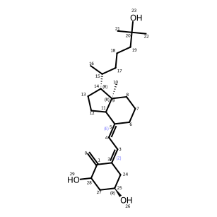 C=C1/C(=C\C=C2/CCC[C@@]3(C)C2CC[C@@H]3C(C)CCCC(C)(C)O)C[C@@H](O)CC1O